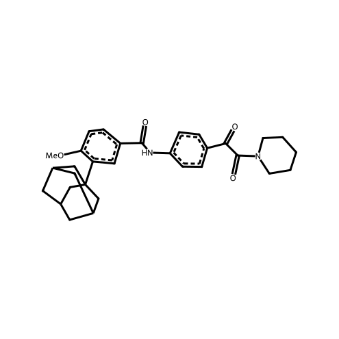 COc1ccc(C(=O)Nc2ccc(C(=O)C(=O)N3CCCCC3)cc2)cc1C12CC3CC(CC(C3)C1)C2